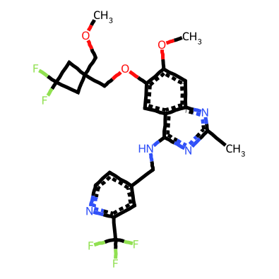 COCC1(COc2cc3c(NCc4ccnc(C(F)(F)F)c4)nc(C)nc3cc2OC)CC(F)(F)C1